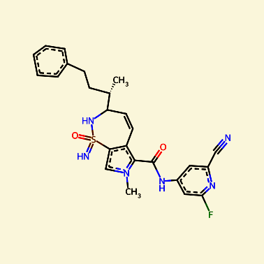 C[C@@H](CCc1ccccc1)C1C=Cc2c(cn(C)c2C(=O)Nc2cc(F)nc(C#N)c2)S(=N)(=O)N1